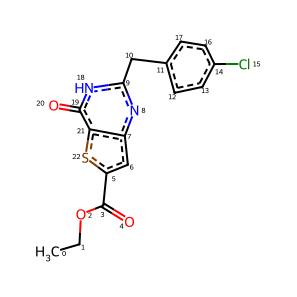 CCOC(=O)c1cc2nc(Cc3ccc(Cl)cc3)[nH]c(=O)c2s1